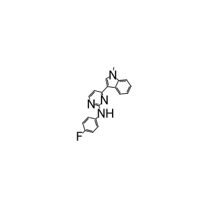 Cn1cc(-c2ccnc(Nc3ccc(F)cc3)n2)c2ccccc21